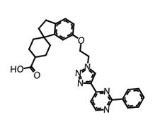 O=C(O)C1CCC2(CCc3ccc(OCCn4cc(-c5ccnc(-c6ccccc6)n5)nn4)cc32)CC1